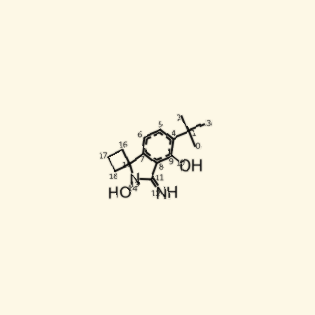 CC(C)(C)c1ccc2c(c1O)C(=N)N(O)C21CCC1